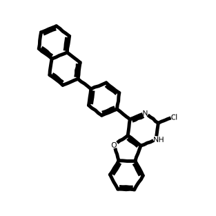 ClC1N=C(c2ccc(-c3ccc4ccccc4c3)cc2)c2oc3ccccc3c2N1